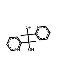 CC(O)(c1ccccn1)C(C)(O)c1ccccn1